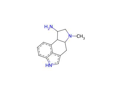 CN1CC(N)C2c3cccc4[nH]cc(c34)CC21